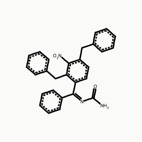 NC(=O)N=C(c1ccccc1)c1ccc(Cc2ccccc2)c([N+](=O)[O-])c1Cc1ccccc1